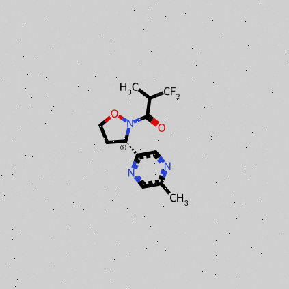 Cc1cnc([C@@H]2CCON2C(=O)C(C)C(F)(F)F)cn1